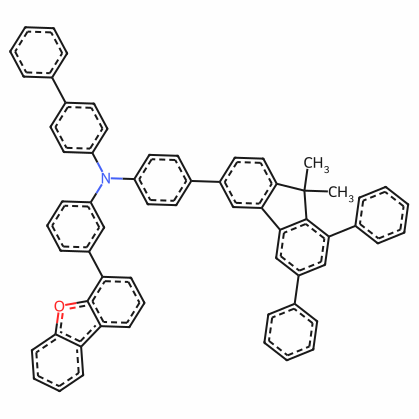 CC1(C)c2ccc(-c3ccc(N(c4ccc(-c5ccccc5)cc4)c4cccc(-c5cccc6c5oc5ccccc56)c4)cc3)cc2-c2cc(-c3ccccc3)cc(-c3ccccc3)c21